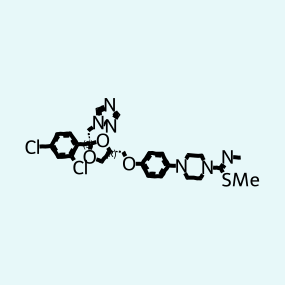 CN=C(SC)N1CCN(c2ccc(OC[C@@H]3CO[C@@](Cn4cncn4)(c4ccc(Cl)cc4Cl)O3)cc2)CC1